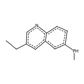 CCc1cnc2ccc(PC)cc2c1